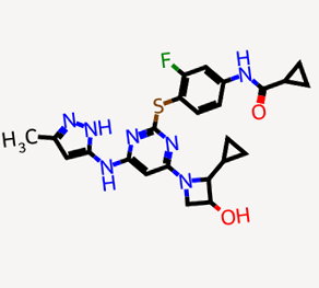 Cc1cc(Nc2cc(N3CC(O)C3C3CC3)nc(Sc3ccc(NC(=O)C4CC4)cc3F)n2)[nH]n1